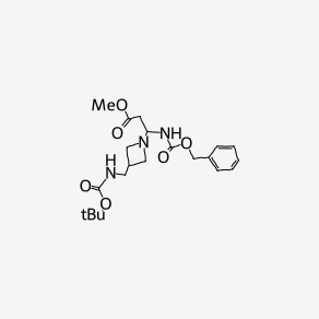 COC(=O)CC(NC(=O)OCc1ccccc1)N1CC(CNC(=O)OC(C)(C)C)C1